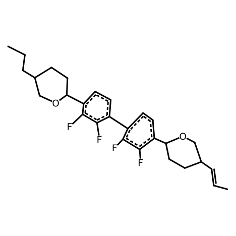 C/C=C/C1CCC(c2ccc(-c3ccc(C4CCC(CCC)CO4)c(F)c3F)c(F)c2F)OC1